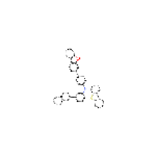 c1cc(-c2ccc3ccccc3c2)cc(N(c2ccc(-c3ccc4c(c3)oc3ccccc34)cc2)c2cccc3c2sc2ccccc23)c1